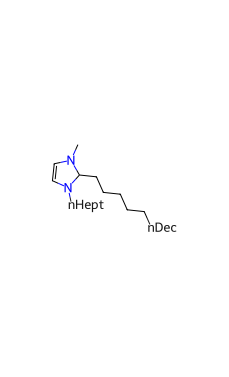 CCCCCCCCCCCCCCCC1N(C)C=CN1CCCCCCC